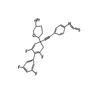 CCCC1CCC(C2(C#Cc3ccc(N=C=S)cc3)C=C(F)C(c3cc(F)cc(F)c3)=C(F)C2)OC1